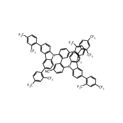 N#Cc1ccc(-n2c3ccc(-c4ccc(C(F)(F)F)cc4C(F)(F)F)cc3c3cc(-c4ccc(C(F)(F)F)cc4C(F)(F)F)ccc32)c(-c2cc(-c3c(C(F)(F)F)cccc3C(F)(F)F)ccc2-n2c3ccc(-c4ccc(C(F)(F)F)cc4C(F)(F)F)cc3c3cc(-c4ccc(C(F)(F)F)cc4C(F)(F)F)ccc32)c1